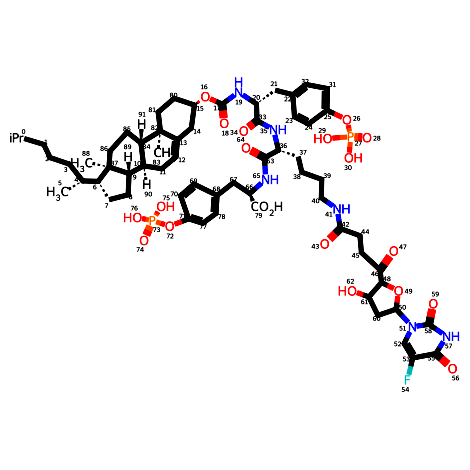 CC(C)CCC[C@@H](C)[C@H]1CC[C@H]2[C@@H]3CC=C4C[C@@H](OC(=O)N[C@H](Cc5ccc(OP(=O)(O)O)cc5)C(=O)N[C@H](CCCCNC(=O)CCC(=O)C5OC(n6cc(F)c(=O)[nH]c6=O)CC5O)C(=O)N[C@H](Cc5ccc(OP(=O)(O)O)cc5)C(=O)O)CC[C@]4(C)[C@H]3CC[C@]12C